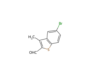 Cc1c(C=O)sc2ccc(Br)cc12